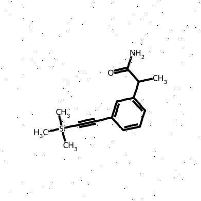 CC(C(N)=O)c1cccc(C#C[Si](C)(C)C)c1